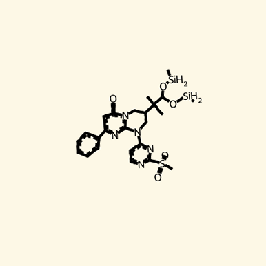 C[SiH2]OC(O[SiH2]C)C(C)(C)C1CN(c2ccnc(S(C)(=O)=O)n2)c2nc(-c3ccccc3)cc(=O)n2C1